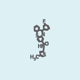 Cc1csc(CNC(=O)c2ccc3c(c2)N=C(c2cccc(F)c2)c2ccccc2S3)c1